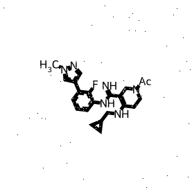 CC(=O)N1CCC(NCC2CC2)=C(C(=N)Nc2cccc(-c3cnn(C)c3)c2F)C1